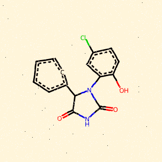 O=C1NC(=O)N(c2cc(Cl)ccc2O)C1c1ccccc1